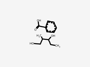 CCC(O)C(C)CO.O=C(O)c1ccccc1